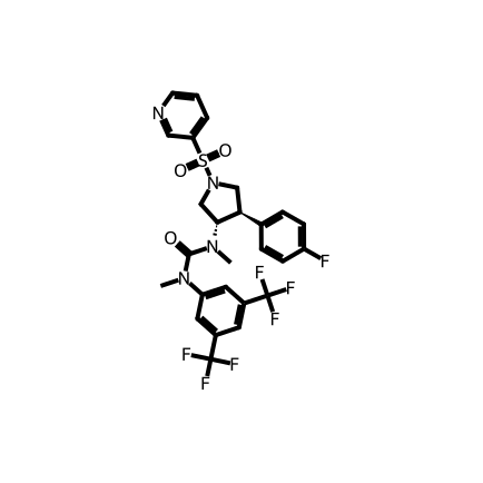 CN(C(=O)N(C)[C@@H]1CN(S(=O)(=O)c2cccnc2)C[C@H]1c1ccc(F)cc1)c1cc(C(F)(F)F)cc(C(F)(F)F)c1